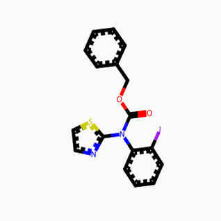 O=C(OCc1ccccc1)N(c1nccs1)c1ccccc1I